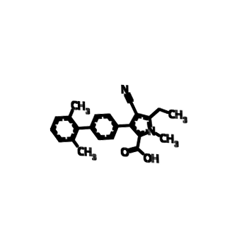 CCc1c(C#N)c(-c2ccc(-c3c(C)cccc3C)cc2)c(C(=O)O)n1C